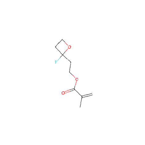 C=C(C)C(=O)OCCC1(F)CCO1